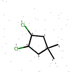 CC1(C)CC(Cl)C(Cl)C1